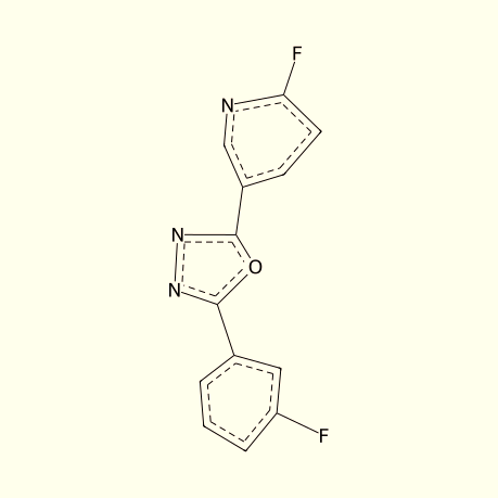 Fc1cccc(-c2nnc(-c3ccc(F)nc3)o2)c1